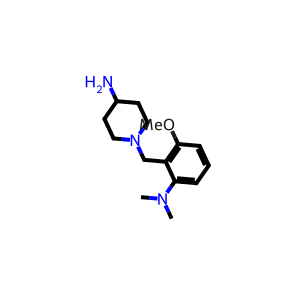 COc1cccc(N(C)C)c1CN1CCC(N)CC1